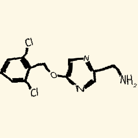 NCc1cnc(OCc2c(Cl)cccc2Cl)cn1